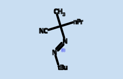 CCCC(C)(C#N)/N=N/C(C)(C)C